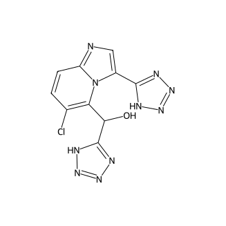 OC(c1nnn[nH]1)c1c(Cl)ccc2ncc(-c3nnn[nH]3)n12